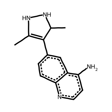 CC1=C(c2ccc3nccc(N)c3c2)C(C)NN1